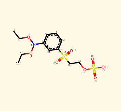 CCON(OCC)c1cccc(S(=O)(=O)CCOS(=O)(=O)O)c1